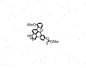 COC(=S)Oc1cccc(C2Oc3cccc(OC)c3-c3ccc4c(c32)C(C)=CC(C)(C)N4)c1